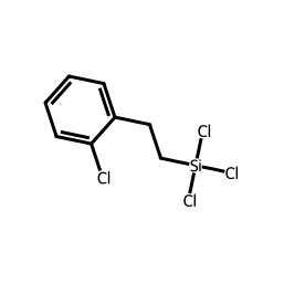 Clc1ccccc1CC[Si](Cl)(Cl)Cl